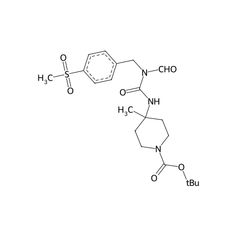 CC1(NC(=O)N(C=O)Cc2ccc(S(C)(=O)=O)cc2)CCN(C(=O)OC(C)(C)C)CC1